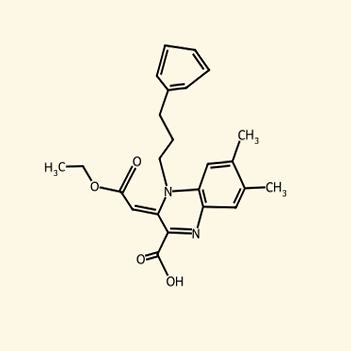 CCOC(=O)/C=C1/C(C(=O)O)=Nc2cc(C)c(C)cc2N1CCCc1ccccc1